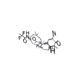 CC(=O)/C=C1/[C@@]2(C)C=C(C#N)C(=O)C(C)(C)[C@@H]2CC[C@@]1(C)[C@@]1(C)CCCC(C)(C)CC[C@](C)(NC(=O)C(C)(F)F)CC1